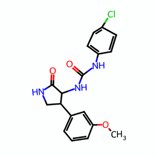 COc1cccc(C2CNC(=O)C2NC(=O)Nc2ccc(Cl)cc2)c1